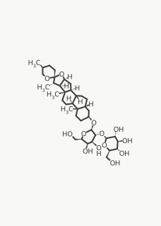 C[C@H]1CC[C@@]2(OC1)O[C@H]1C[C@H]3[C@@H]4CC[C@@H]5C[C@@H](O[C@@H]6O[C@H](CO)[C@H](O)[C@H](O)[C@H]6O[C@@H]6O[C@H](CO)[C@@H](O)[C@H](O)[C@H]6O)CC[C@]5(C)[C@H]4CC[C@]3(C)[C@H]1[C@@H]2C